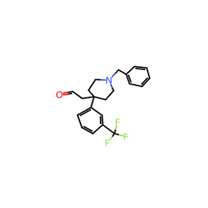 O=CCC1(c2cccc(C(F)(F)F)c2)CCN(Cc2ccccc2)CC1